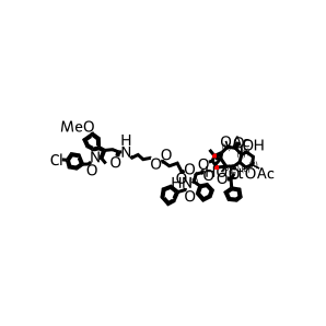 CC[C@@]1(OC(C)=O)C2[C@H](OC(=O)c3ccccc3)[C@]3(O)CC(OC(=O)C(OC(=O)CCC(=O)OCCCCNC(=O)Cc4c(C)n(C(=O)c5ccc(Cl)cc5)c5ccc(OC)cc45)[C@@H](NC(=O)c4ccccc4)c4ccccc4)C(C)=C([C@@H](OC(C)=O)C(=O)[C@]2(C)[C@@H](O)C[C@H]1C)C3(C)C